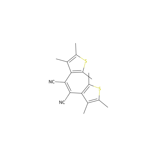 Cc1sc(C)c(/C(C#N)=C(/C#N)c2c(C)sc(C)c2C)c1C